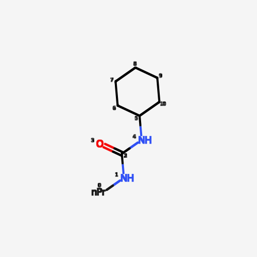 [CH2]CCNC(=O)NC1CCCCC1